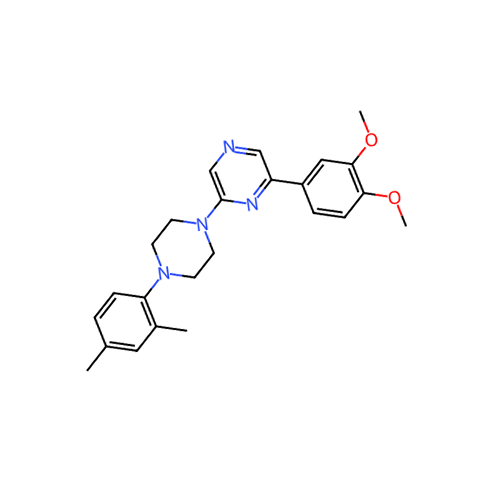 COc1ccc(-c2cncc(N3CCN(c4ccc(C)cc4C)CC3)n2)cc1OC